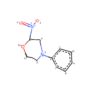 O=[N+]([O-])C1CN(c2ccccc2)CCO1